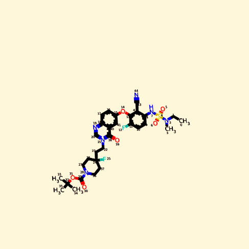 CCN(C)S(=O)(=O)Nc1ccc(F)c(Oc2ccc3ncn(CCC4(F)CCN(C(=O)OC(C)(C)C)CC4)c(=O)c3c2)c1C#N